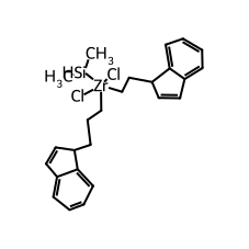 C[SiH](C)[Zr]([Cl])([Cl])([CH2]CCC1C=Cc2ccccc21)[CH2]CC1C=Cc2ccccc21